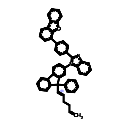 C=CCC/C=C/C1(c2ccccc2)c2ccccc2-c2ccc(-n3c(-c4ccc(-c5cccc6c5oc5ccccc56)cc4)nc4ccccc43)cc21